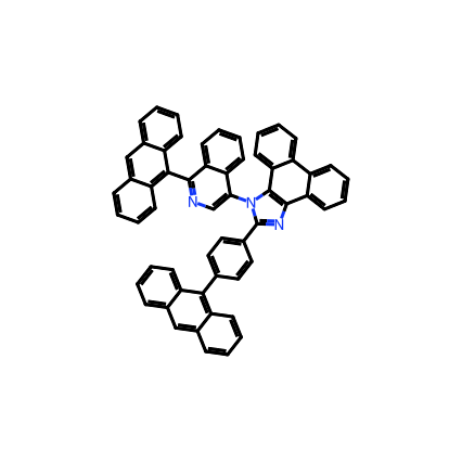 c1ccc2c(-c3ccc(-c4nc5c6ccccc6c6ccccc6c5n4-c4cnc(-c5c6ccccc6cc6ccccc56)c5ccccc45)cc3)c3ccccc3cc2c1